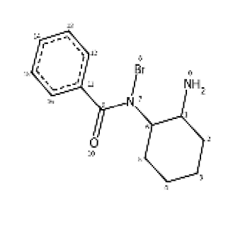 NC1CCCCC1N(Br)C(=O)c1ccccc1